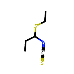 CCSC(CC)N=C=S